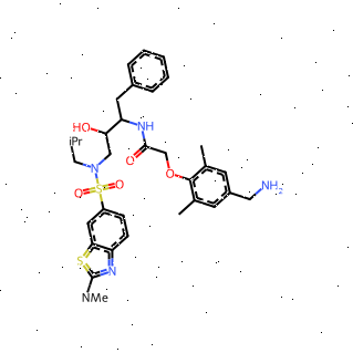 CNc1nc2ccc(S(=O)(=O)N(CC(C)C)CC(O)C(Cc3ccccc3)NC(=O)COc3c(C)cc(CN)cc3C)cc2s1